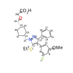 CCSc1c(-c2cc(F)cc(OC)c2)c(-c2ccccc2)nn1C[C@H]1CC[C@@H](COCC(=O)O)CC1